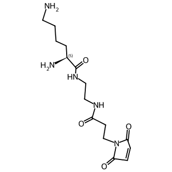 NCCCC[C@H](N)C(=O)NCCNC(=O)CCN1C(=O)C=CC1=O